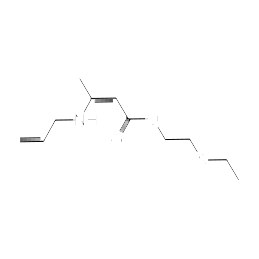 C=CCN/C(C)=C\C(=O)OCCSCC